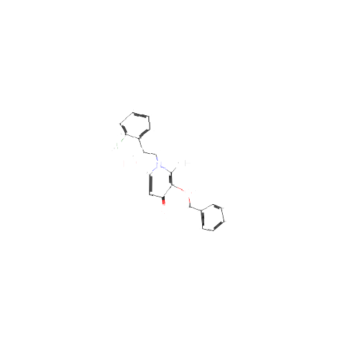 Cc1c(OCc2ccccc2)c(=O)ccn1C[C@H](O)c1ccccc1F